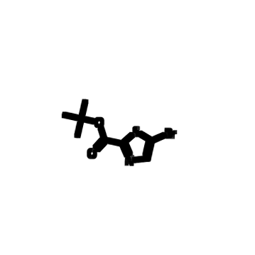 CC(C)(C)OC(=O)c1ncc(Br)s1